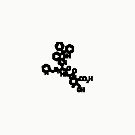 O=C(O)C1=C(CO)SCC2C(NC(=O)C(=NOCc3ccccn3)c3csc(NC(c4ccccc4)(c4ccccc4)c4ccccc4)n3)C(=O)N12